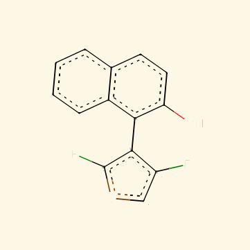 Oc1ccc2ccccc2c1-c1c(F)csc1F